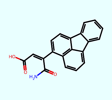 NC(=O)C(=CC(=O)O)c1ccc2c3c(cccc13)-c1ccccc1-2